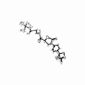 CC(C)(C)OC(=O)CCNC(=O)C1CN(c2ccc(-c3noc(=O)[nH]3)cc2)C(=O)O1